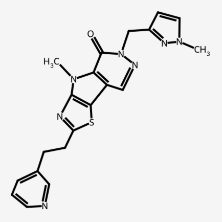 Cn1ccc(Cn2ncc3c4sc(CCc5cccnc5)nc4n(C)c3c2=O)n1